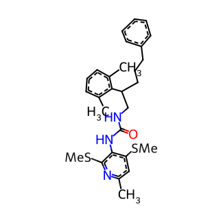 CSc1cc(C)nc(SC)c1NC(=O)NCC(CCCc1ccccc1)c1c(C)cccc1C